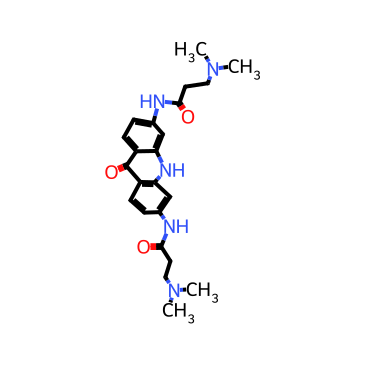 CN(C)CCC(=O)Nc1ccc2c(=O)c3ccc(NC(=O)CCN(C)C)cc3[nH]c2c1